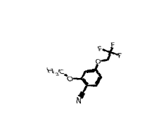 COc1cc(OCC(F)(F)F)ccc1C#N